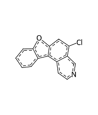 Clc1cc2oc3ccccc3c2c2ccncc12